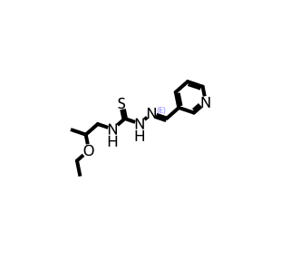 CCOC(C)CNC(=S)N/N=C/c1cccnc1